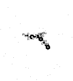 CC(C)OC(=O)N[C@@H]1CCC(c2ncc(-c3ccc(NC(=O)NCc4ccccc4)cc3S(=O)(=O)NC(C)(C)C)s2)OC1